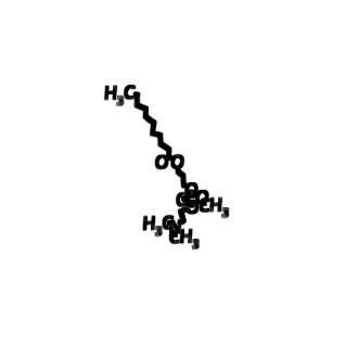 CCCCCCCCCCC(=O)OCCCOP(=O)(OC)OCCN(C)C